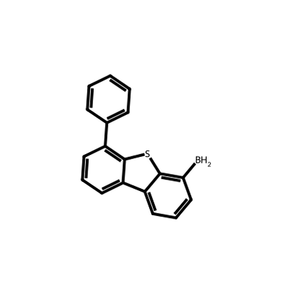 Bc1cccc2c1sc1c(-c3ccccc3)cccc12